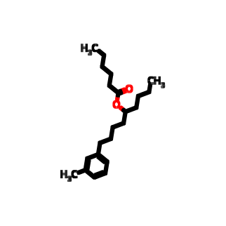 CCCCCC(=O)OC(CCCC)CCCCc1cccc(C)c1